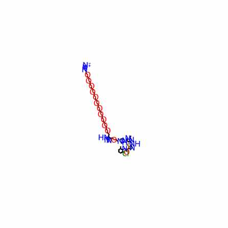 Cc1nc(Nc2ncc(C(=O)Nc3c(C)cccc3Cl)s2)cc(N2CCN(CCOCc3nn[nH]c3CCOCCOCCOCCOCCOCCOCCOCCOCCOCCOCCOCCN=[N+]=[N-])CC2)n1